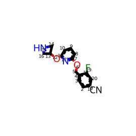 N#Cc1ccc(COc2cccc(OC3CNC3)n2)c(F)c1